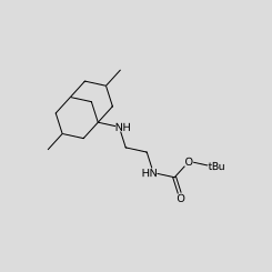 CC1CC2CC(C)CC(NCCNC(=O)OC(C)(C)C)(C1)C2